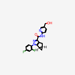 O=C(Nc1ccc(CO)cn1)c1nn(-c2ccc(F)cc2F)c2c1C[C@H]1C[C@@H]21